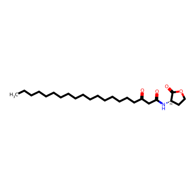 CCCCCCCCCCCCCCCCCC(=O)CC(=O)N[C@H]1CCOC1=O